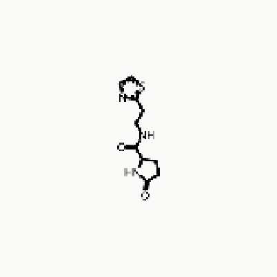 O=C1CCC(C(=O)NCCc2nccs2)N1